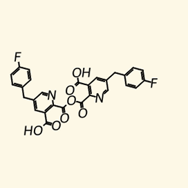 O=C(O)c1cc(Cc2ccc(F)cc2)cnc1C(=O)OC(=O)c1ncc(Cc2ccc(F)cc2)cc1C(=O)O